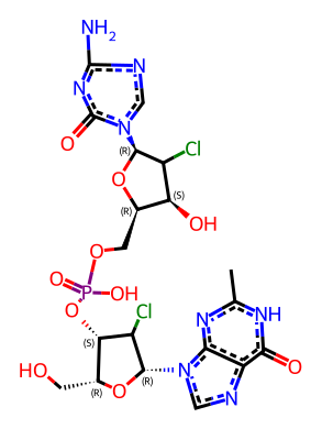 Cc1nc2c(ncn2[C@@H]2O[C@H](CO)[C@H](OP(=O)(O)OC[C@H]3O[C@@H](n4cnc(N)nc4=O)C(Cl)[C@H]3O)C2Cl)c(=O)[nH]1